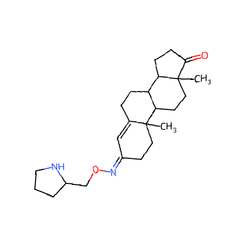 CC12CCC3C(CCC4=CC(=NOCC5CCCN5)CCC43C)C1CCC2=O